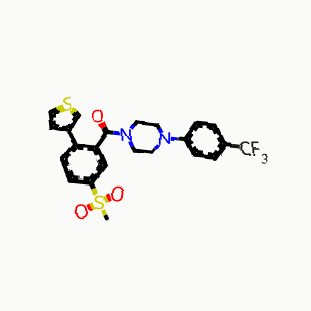 CS(=O)(=O)c1ccc(-c2ccsc2)c(C(=O)N2CCN(c3ccc(C(F)(F)F)cc3)CC2)c1